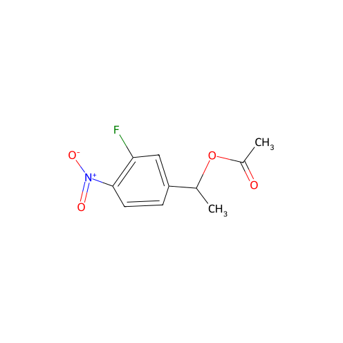 CC(=O)OC(C)c1ccc([N+](=O)[O-])c(F)c1